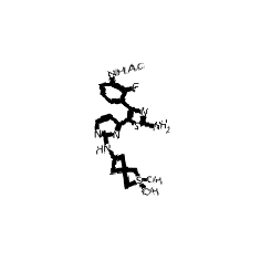 CC(=O)Nc1cccc(-c2nc(N)sc2-c2ccnc(NC3CC4(C3)CS(O)(O)C4)n2)c1F